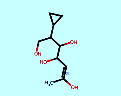 C/C(O)=C\C(O)C(O)C(CO)C1CC1